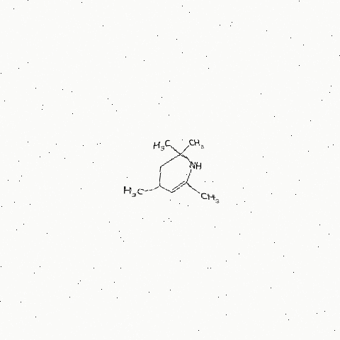 CC1=CC(C)CC(C)(C)N1